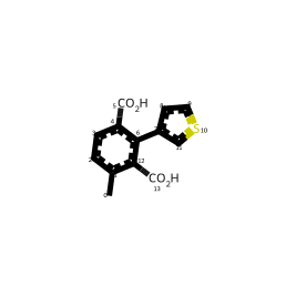 Cc1ccc(C(=O)O)c(-c2ccsc2)c1C(=O)O